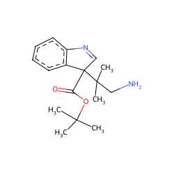 CC(C)(C)OC(=O)C1(C(C)(C)CN)C=Nc2ccccc21